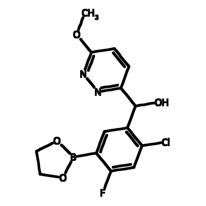 COc1ccc(C(O)c2cc(B3OCCO3)c(F)cc2Cl)nn1